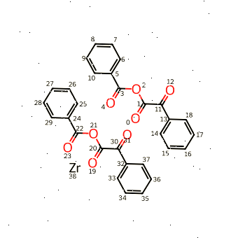 O=C(OC(=O)c1ccccc1)C(=O)c1ccccc1.O=C(OC(=O)c1ccccc1)C(=O)c1ccccc1.[Zr]